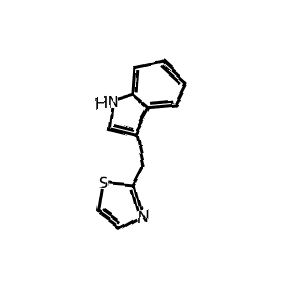 c1ccc2c(Cc3nccs3)c[nH]c2c1